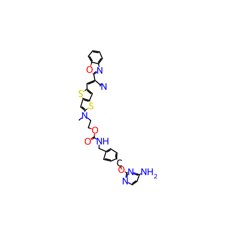 CN(CCOC(=O)NCc1ccc(COc2nccc(N)n2)cc1)c1cc2sc(/C=C(\C#N)c3nc4ccccc4o3)cc2s1